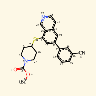 CC(C)(C)OC(=O)N1CCC(Sc2cc(-c3cccc(C#N)c3)cc3ccncc23)CC1